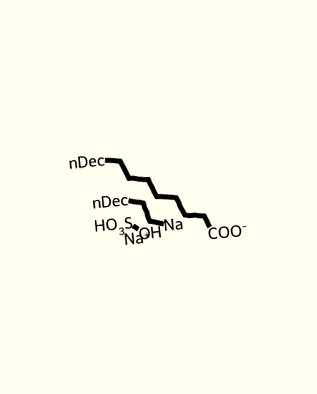 CCCCCCCCCCCCCCCCCC(=O)[O-].CCCCCCCCCCC[CH2][Na].O=S(=O)(O)O.[Na+]